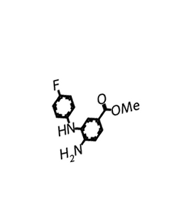 COC(=O)c1ccc(N)c(Nc2ccc(F)cc2)c1